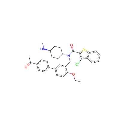 CCOc1ccc(-c2ccc(C(C)=O)cc2)cc1CN(C(=O)c1sc2ccccc2c1Cl)[C@H]1CC[C@H](NC)CC1